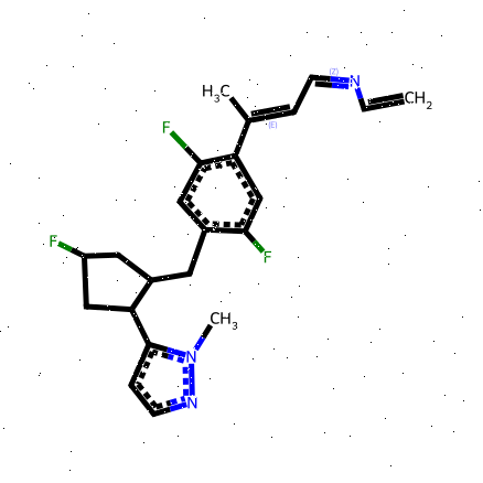 C=C/N=C\C=C(/C)c1cc(F)c(CC2CC(F)CC2c2ccnn2C)cc1F